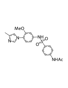 COc1cc(NS(=O)(=O)c2ccc(NC(C)=O)cc2)ccc1-n1cnc(C)c1